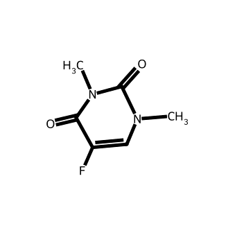 Cn1cc(F)c(=O)n(C)c1=O